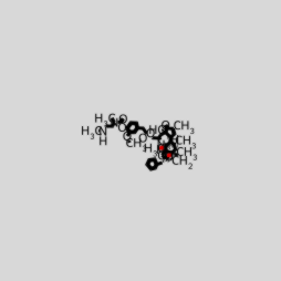 C=C(C)[C@]12C[C@@H](C)[C@@]34O[C@](Cc5ccccc5)(O[C@@H]1[C@@]3(C)N=C(COC(=O)Cc1ccc(OC(=O)N(C)CCNC)c(OC)c1)C[C@]1(O)C(=O)C(C)=C[C@@H]41)O2